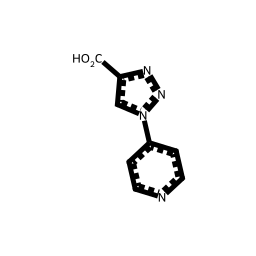 O=C(O)c1cn(-c2ccncc2)nn1